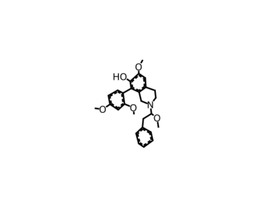 COc1ccc(-c2c(O)c(OC)cc3c2CN(C(Cc2ccccc2)OC)CC3)c(OC)c1